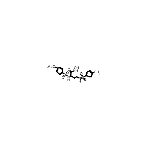 COc1ccc(S(=O)(=O)NC(CCNS(=O)(=O)c2ccc(C)cc2)C(=O)NO)cc1